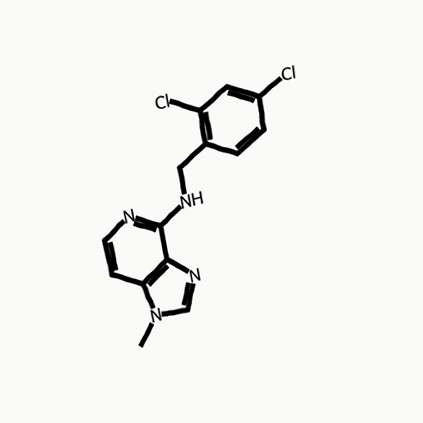 Cn1cnc2c(NCc3ccc(Cl)cc3Cl)nccc21